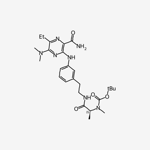 CCc1nc(C(N)=O)c(Nc2cccc(CCNC(=O)[C@H](C)N(C)C(=O)OC(C)(C)C)c2)nc1N(C)C